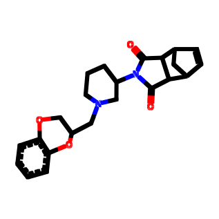 O=C1C2C3C=CC(C3)C2C(=O)N1C1CCCN(CC2COc3ccccc3O2)C1